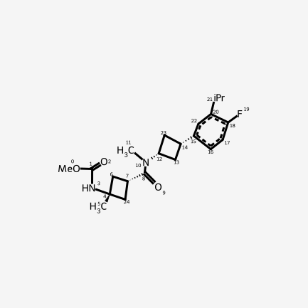 COC(=O)N[C@]1(C)C[C@H](C(=O)N(C)[C@H]2C[C@@H](c3ccc(F)c(C(C)C)c3)C2)C1